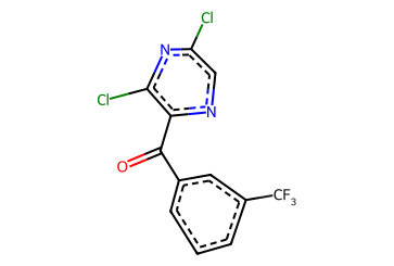 O=C(c1cccc(C(F)(F)F)c1)c1ncc(Cl)nc1Cl